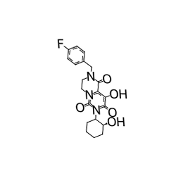 O=C1c2c(O)c(=O)n(C3CCCC[C@@H]3O)c(=O)n2CCN1Cc1ccc(F)cc1